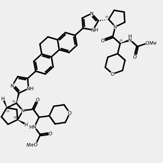 COC(=O)NC(C(=O)N1[C@@H]2CC[C@@H](C2)[C@H]1c1ncc(-c2ccc3c(c2)CCc2cc(-c4cnc([C@@H]5CCCN5C(=O)[C@@H](NC(=O)OC)C5CCOCC5)[nH]4)ccc2-3)[nH]1)C1CCOCC1